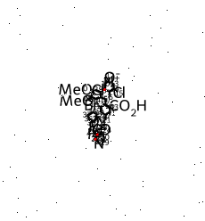 COc1ccc([C@H](Cc2c(Cl)c[n+]([O-])cc2Cl)c2c(Br)cc(CN(C(=O)O[C@H]3CN4CCC3CC4)c3ccccc3F)cc2C(=O)O)cc1OC